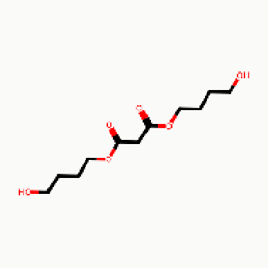 O=C(CC(=O)OCCCCO)OCCCCO